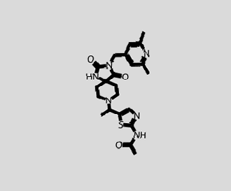 CC(=O)Nc1ncc(C(C)N2CCC3(CC2)NC(=O)N(Cc2cc(C)nc(C)c2)C3=O)s1